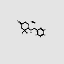 C=C.CC1(C)CC(=O)CCC1OCc1ccccc1